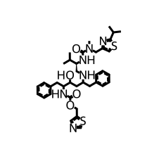 CC(C)c1nc(CN(C)C(=O)N[C@@H](CNC(Cc2ccccc2)CC(O)C(Cc2ccccc2)NC(=O)OCc2cncs2)C(C)C)cs1